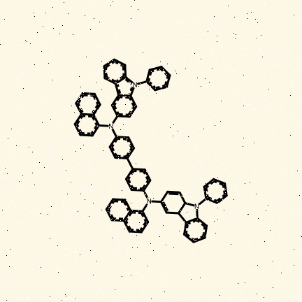 C1=CC2C(C=C1N(c1ccc(-c3ccc(N(c4ccc5c(c4)c4ccccc4n5-c4ccccc4)c4cccc5ccccc45)cc3)cc1)c1cccc3ccccc13)c1ccccc1N2c1ccccc1